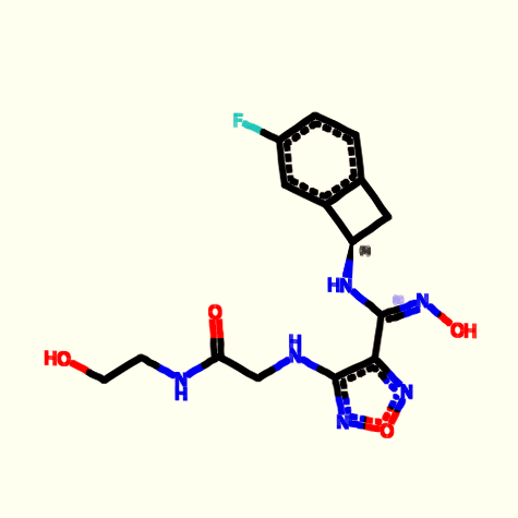 O=C(CNc1nonc1/C(=N\O)N[C@@H]1Cc2ccc(F)cc21)NCCO